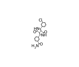 NC(=O)c1cccc(C2=C3C(=O)NC(c4cccc(Cl)c4)=C3C(=O)N2)c1